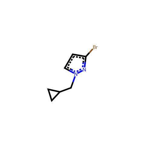 Brc1ccn(CC2CC2)n1